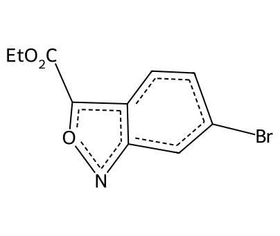 CCOC(=O)c1onc2cc(Br)ccc12